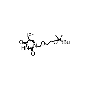 CC(C)c1cn(COCCO[Si](C)(C)C(C)(C)C)c(=O)[nH]c1=O